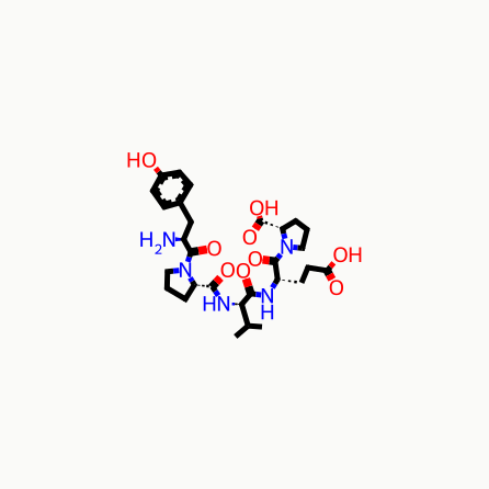 CC(C)[C@H](NC(=O)[C@@H]1CCCN1C(=O)[C@@H](N)Cc1ccc(O)cc1)C(=O)N[C@@H](CCC(=O)O)C(=O)N1CCC[C@H]1C(=O)O